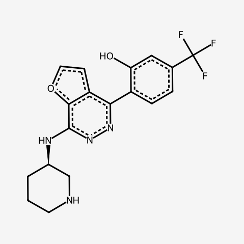 Oc1cc(C(F)(F)F)ccc1-c1nnc(N[C@@H]2CCCNC2)c2occc12